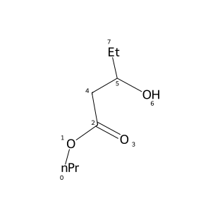 CCCOC(=O)CC(O)CC